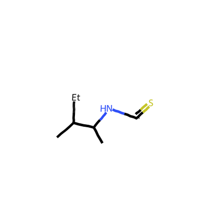 CCC(C)C(C)N[C]=S